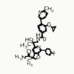 Cc1ccc(-c2ccc(C(=O)NC[C@](C)(O)c3cc4c(c(-c5ccc(F)cc5)n3)OC[C@]4(C)C(N)=O)cc2OC2CC2)cn1